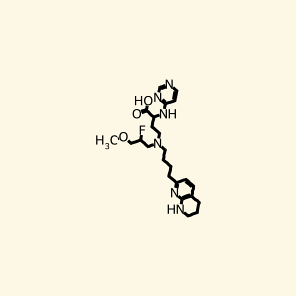 COCC(F)CN(CCCCc1ccc2c(n1)NCCC2)CCC(Nc1ccncn1)C(=O)O